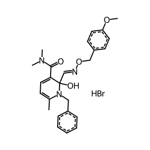 Br.COc1ccc(CON=CC2(O)C(C(=O)N(C)C)=CC=C(C)N2Cc2ccccc2)cc1